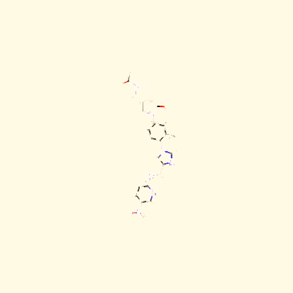 CC(=O)NC[C@H]1CN(c2ccc(-n3cnc(CNc4ccc([N+](=O)[O-])cn4)c3)c(F)c2)C(=O)O1